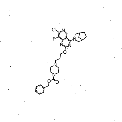 O=C(OCc1ccccc1)N1CCN(CCCOc2nc(N3CC4CCC(C4)C3)c3cnc(Cl)c(F)c3n2)CC1